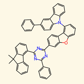 CC1(C)c2ccccc2-c2c(-c3nc(-c4ccccc4)nc(-c4ccc5c(c4)oc4cccc(-n6c7ccccc7c7cc(-c8ccccc8)ccc76)c45)n3)cccc21